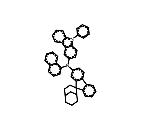 c1ccc(-n2c3ccccc3c3cc(N(c4ccc5c(c4)C4(CCC6CCCC4C6)c4ccccc4-5)c4cccc5ccccc45)ccc32)cc1